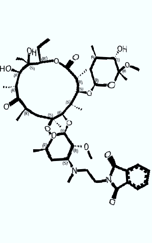 CC[C@H]1OC(=O)[C@H](C)[C@@H](O[C@H]2C[C@@H](C)[C@H](O)[C@](C)(OC)O2)[C@H](C)[C@@H](O[C@@H]2O[C@H](C)C[C@H](N(C)CCN3C(=O)c4ccccc4C3=O)[C@H]2OC)[C@@](C)(OC)C[C@@H](C)C(=O)[C@H](C)[C@@H](O)[C@]1(C)O